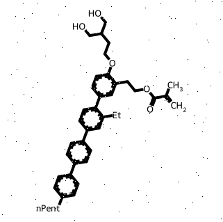 C=C(C)C(=O)OCCc1cc(-c2ccc(-c3ccc(-c4ccc(CCCCC)cc4)cc3)cc2CC)ccc1OCCC(CO)CO